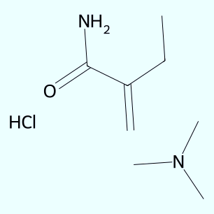 C=C(CC)C(N)=O.CN(C)C.Cl